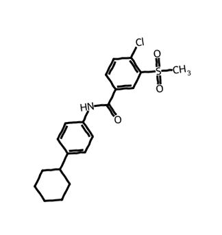 CS(=O)(=O)c1cc(C(=O)Nc2ccc(C3CCCCC3)cc2)ccc1Cl